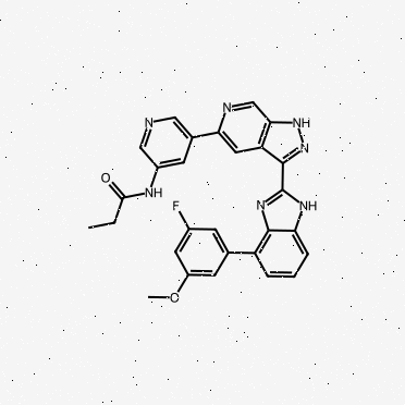 CCC(=O)Nc1cncc(-c2cc3c(-c4nc5c(-c6cc(F)cc(OC)c6)cccc5[nH]4)n[nH]c3cn2)c1